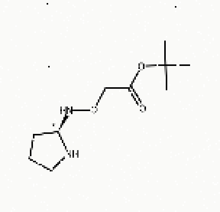 CC(C)(C)OC(=O)CON[C@@H]1CCCN1